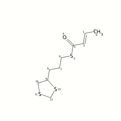 CC=CC(=O)SCCCC1CSCS1